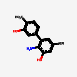 N#Cc1cc(O)c(N)c(-c2ccc(C(=O)O)c(O)c2)c1